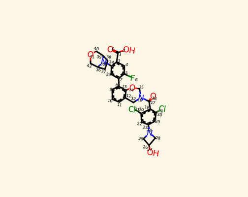 O=C(O)c1cc(F)c(-c2cccc3c2OCN(C(=O)c2c(Cl)cc(N4CC(O)C4)cc2Cl)C3)cc1N1C2CCC1COC2